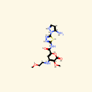 COCCNc1cc(C(=O)Nc2nnc(-n3nccc3N)s2)oc(=O)c1OC